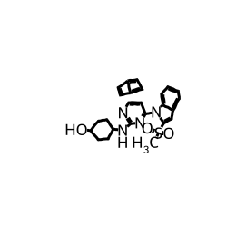 CS(=O)(=O)c1cc2ccccc2n1-c1ccnc(NC2CCC(O)CC2)n1.c1cc2ccc1-2